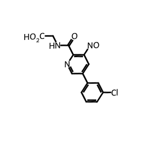 O=Nc1cc(-c2cccc(Cl)c2)cnc1C(=O)NCC(=O)O